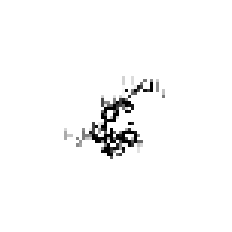 CCCNC(=O)Nc1ccc(-c2nc(N)cc(C3(S(=O)(=O)c4cc(F)cc(F)c4)CC3)n2)cc1